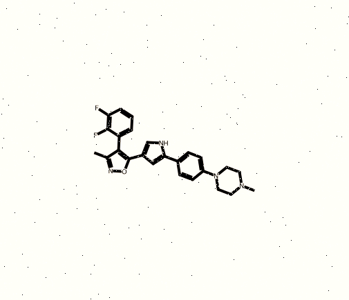 Cc1noc(-c2c[nH]c(-c3ccc(N4CCN(C)CC4)cc3)c2)c1-c1cccc(F)c1F